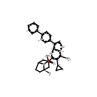 NC(=O)N1C2CC[C@H]1CC(c1nc3c(-c4ccc(-c5ccccc5)nc4)cnn3c(N)c1C1CC1)C2